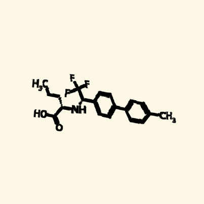 CCC[C@H](N[C@@H](c1ccc(-c2ccc(C)cc2)cc1)C(F)(F)F)C(=O)O